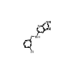 Clc1cccc(CNc2cnc3[nH]cnc3c2)c1